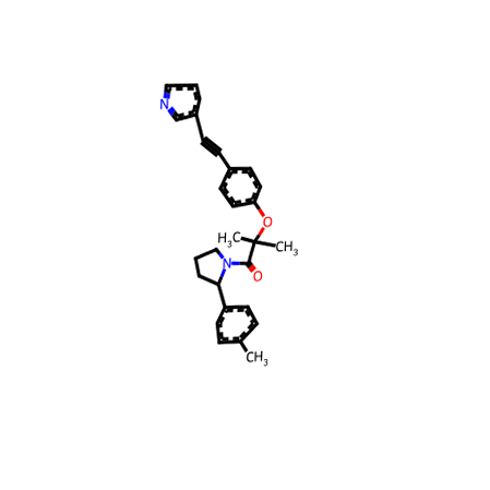 Cc1ccc(C2CCCN2C(=O)C(C)(C)Oc2ccc(C#Cc3cccnc3)cc2)cc1